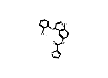 C=C/C(=N\c1ccccc1C)c1cc(NC(=O)c2cccs2)ccc1Cl